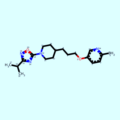 Bc1ccc(OCCCC2CCN(c3nc(C(C)C)no3)CC2)cn1